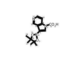 CC1(C)OB(c2cn(C(=O)O)c3ccncc23)OC1(C)C